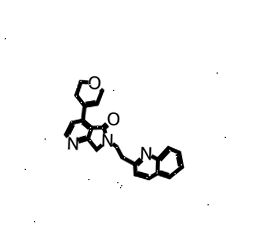 O=C1c2c(C3=CCOCC3)ccnc2CN1CCc1ccc2ccccc2n1